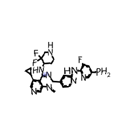 C=Nc1cncc(C2CC2)c1/C(=N\Cc1ccnc(Nc2ncc(P)cc2F)c1)NC1CCNCC1(F)F